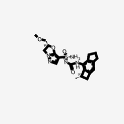 COC[C@H]1Cn2ncc([S@@](N)(=O)=NC(=O)Nc3c4c(cc5c3[C@@H](C)C5)CCC4)c2O1